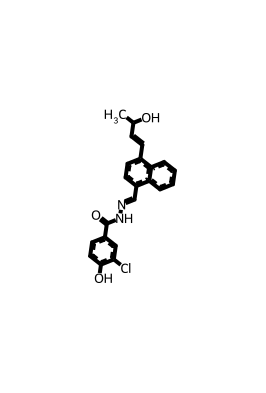 CC(O)/C=C/c1ccc(/C=N/NC(=O)c2ccc(O)c(Cl)c2)c2ccccc12